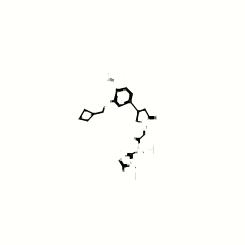 COc1ccc(C2CC(=O)N(CC(=O)Nc3nc(C)cs3)C2)cc1OCC1CCC1